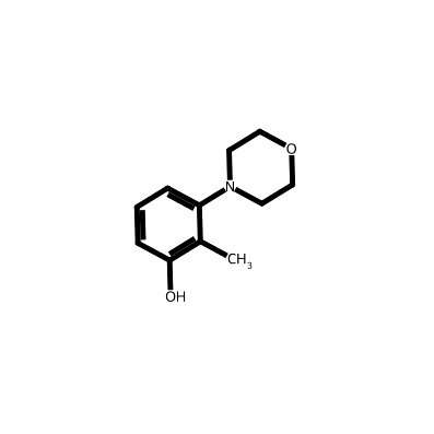 Cc1c(O)cccc1N1CCOCC1